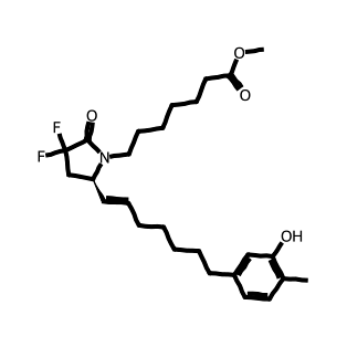 COC(=O)CCCCCCN1C(=O)C(F)(F)C[C@@H]1/C=C/CCCCCc1ccc(C)c(O)c1